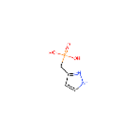 O=P(O)(O)Cc1cc[nH]n1